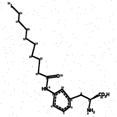 N[C@@H](Cc1cccc(NC(=O)CCCCCCCCI)c1)C(=O)O